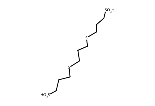 O=S(=O)(O)CCCSCCCSCCCS(=O)(=O)O